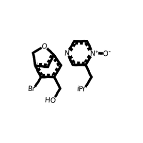 CC(C)Cc1cncc[n+]1[O-].OCc1cc2cc(c1Br)CO2